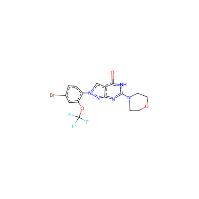 O=c1[nH]c(N2CCOCC2)nc2nn(-c3ccc(Br)cc3OC(F)(F)F)cc12